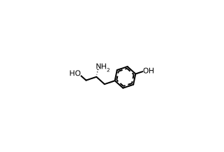 N[C@@H](CO)Cc1ccc(O)cc1